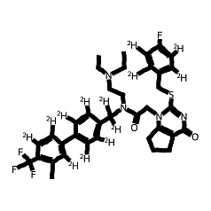 [2H]c1c([2H])c(CSc2nc(=O)c3c(n2CC(=O)N(CCN(CC)CC)C([2H])([2H])c2c([2H])c([2H])c(-c4c([2H])c([2H])c(C(F)(F)F)c(C)c4[2H])c([2H])c2[2H])CCC3)c([2H])c([2H])c1F